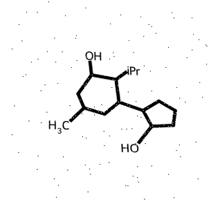 CC1CC(O)C(C(C)C)C(C2CCCC2O)C1